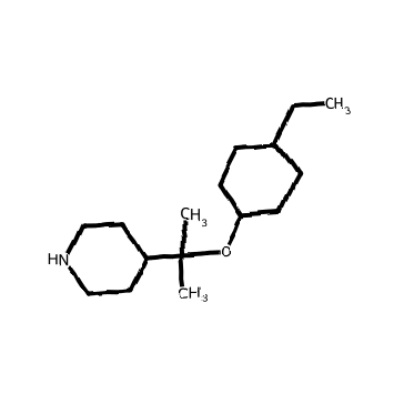 CCC1CCC(OC(C)(C)C2CCNCC2)CC1